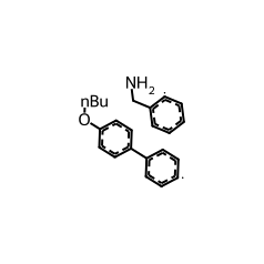 CCCCOc1ccc(-c2cc[c]cc2)cc1.NCc1[c]cccc1